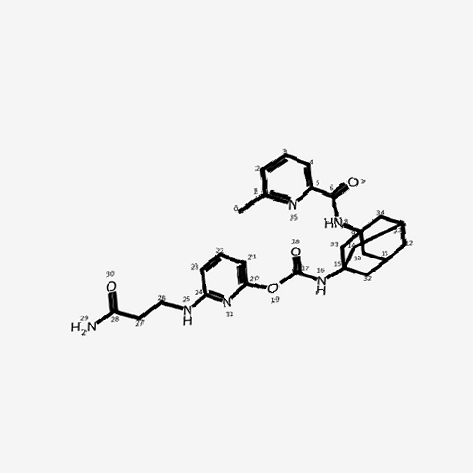 Cc1cccc(C(=O)NC23CC4CC(CC(NC(=O)Oc5cccc(NCCC(N)=O)n5)(C4)C2)C3)n1